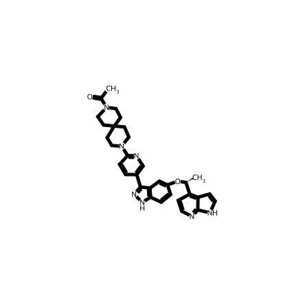 CC(=O)N1CCC2(CC1)CCN(c1ccc(-c3n[nH]c4ccc(O[C@H](C)c5ccnc6[nH]ccc56)cc34)cn1)CC2